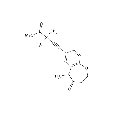 COC(=O)C(C)(C)C#Cc1ccc2c(c1)N(C)C(=O)CCO2